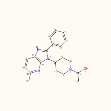 CB(O)N1CCC(n2c(-c3ccccc3)nc3ccc(C)nc32)CC1